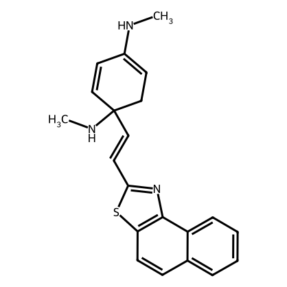 CNC1=CCC(C=Cc2nc3c(ccc4ccccc43)s2)(NC)C=C1